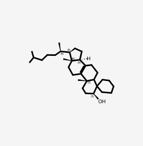 CC(C)CCC[C@@H](C)[C@H]1CC[C@H]2C3=C(CC[C@]12C)[C@@]1(C)CC[C@H](O)C2(CCCCC2)C1CC3